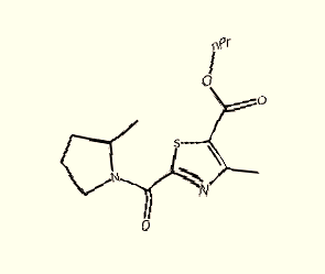 CCCOC(=O)c1sc(C(=O)N2CCCC2C)nc1C